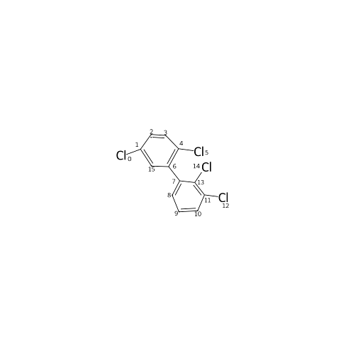 Clc1[c]cc(Cl)c(-c2cccc(Cl)c2Cl)c1